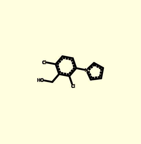 OCc1c(Cl)ccc(-n2cccc2)c1Cl